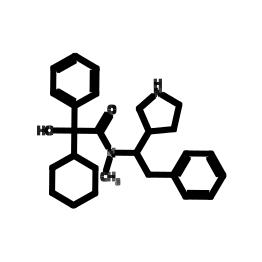 CN(C(=O)C(O)(c1ccccc1)C1CCCCC1)C(Cc1ccccc1)C1CCNC1